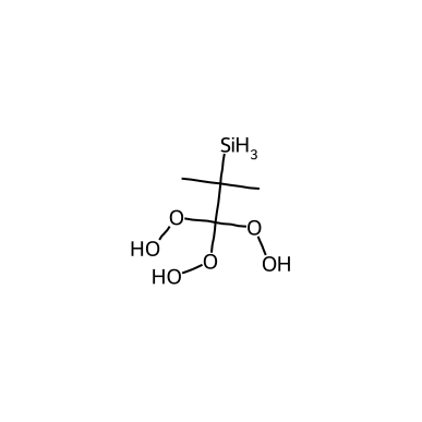 CC(C)([SiH3])C(OO)(OO)OO